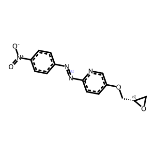 O=[N+]([O-])c1ccc(/N=N/c2ccc(OC[C@@H]3CO3)cn2)cc1